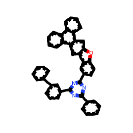 c1ccc(-c2cccc(-c3nc(-c4ccccc4)nc(-c4ccc5oc6cc7c8ccccc8c8ccccc8c7cc6c5c4)n3)c2)cc1